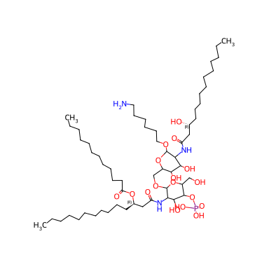 CCCCCCCCCCCC(=O)O[C@H](CCCCCCCCCCC)CC(=O)NC1C(OCC2OC(OCCCCCCN)C(NC(=O)C[C@H](O)CCCCCCCCCCC)C(O)C2O)OC(CO)C(OP(=O)(O)O)C1O